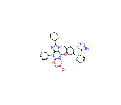 COC(=O)Cn1c(=O)c2c(nc(C3CCCCC3)n2Cc2ccc(-c3ccccc3-c3nnn[nH]3)cc2)n(-c2ccccc2)c1=O